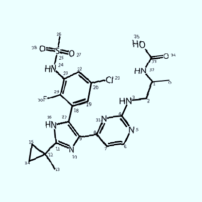 CC(CNc1nccc(-c2nc(C3(C)CC3)[nH]c2-c2cc(Cl)cc(NS(C)(=O)=O)c2F)n1)NC(=O)O